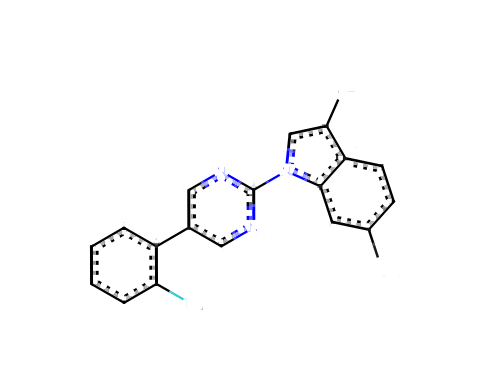 Cc1cn(-c2ncc(-c3ccccc3F)cn2)c2cc(C(=O)O)ccc12